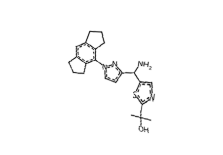 CC(C)(O)c1ncc(C(N)c2ccn(-c3c4c(cc5c3CCC5)CCC4)n2)s1